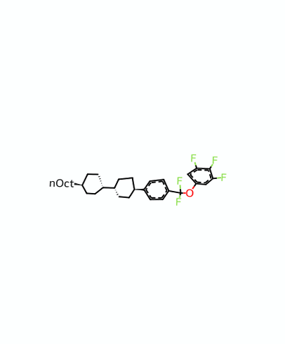 CCCCCCCC[C@H]1CC[C@H]([C@H]2CC[C@H](c3ccc(C(F)(F)Oc4cc(F)c(F)c(F)c4)cc3)CC2)CC1